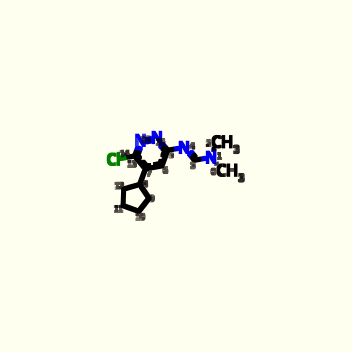 CN(C)C=Nc1cc(C2CCCC2)c(Cl)nn1